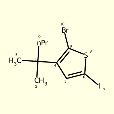 CCCC(C)(C)c1cc(I)sc1Br